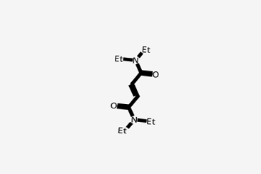 CCN(CC)C(=O)C=CC(=O)N(CC)CC